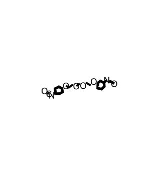 O=C=Nc1ccc(OCCOCOCCOc2cccc(N=C=O)c2)cc1